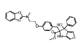 COC(=O)C1(Cc2ccc(OCCN(C)c3nc4ccccc4o3)cc2)Nc2cscc2C1(O)c1ccccc1